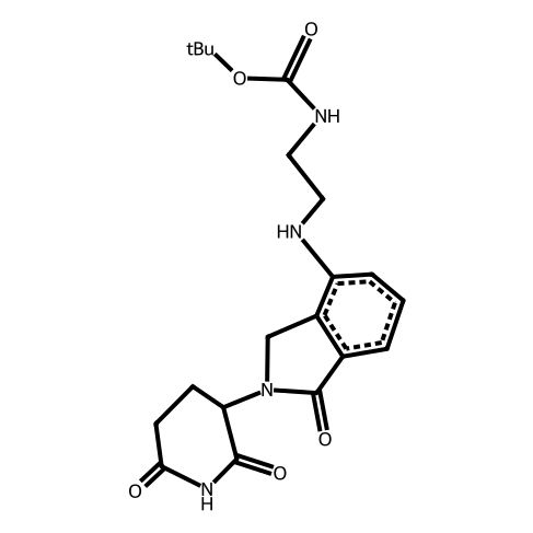 CC(C)(C)OC(=O)NCCNc1cccc2c1CN(C1CCC(=O)NC1=O)C2=O